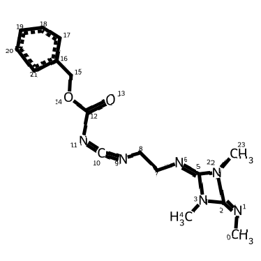 CN=C1N(C)C(=NCCN=C=NC(=O)OCc2ccccc2)N1C